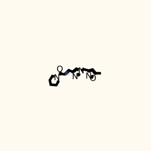 Cc1cc(Cn2cnc(/C=C/C(=O)N3CCCCC3)c2)no1